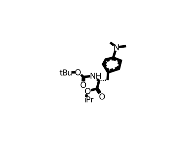 CC(C)OC(=O)[C@@H](Cc1ccc(N(C)C)cc1)NC(=O)OC(C)(C)C